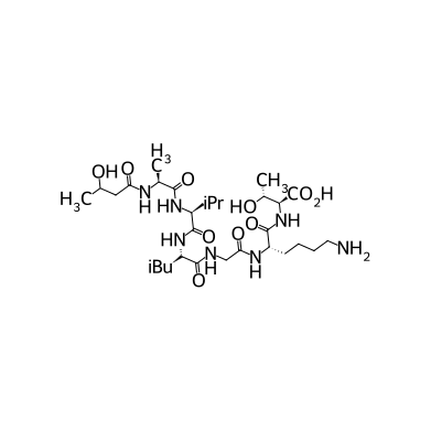 CC[C@H](C)[C@H](NC(=O)[C@@H](NC(=O)[C@H](C)NC(=O)CC(C)O)C(C)C)C(=O)NCC(=O)N[C@@H](CCCCN)C(=O)N[C@H](C(=O)O)[C@@H](C)O